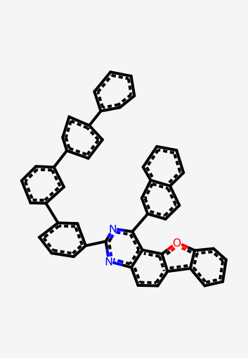 c1ccc(-c2ccc(-c3cccc(-c4cccc(-c5nc(-c6ccc7ccccc7c6)c6c(ccc7c8ccccc8oc76)n5)c4)c3)cc2)cc1